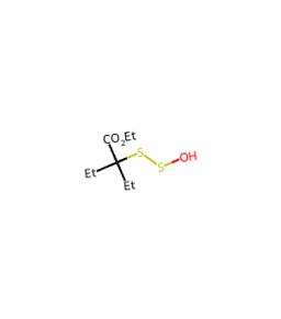 CCOC(=O)C(CC)(CC)SSO